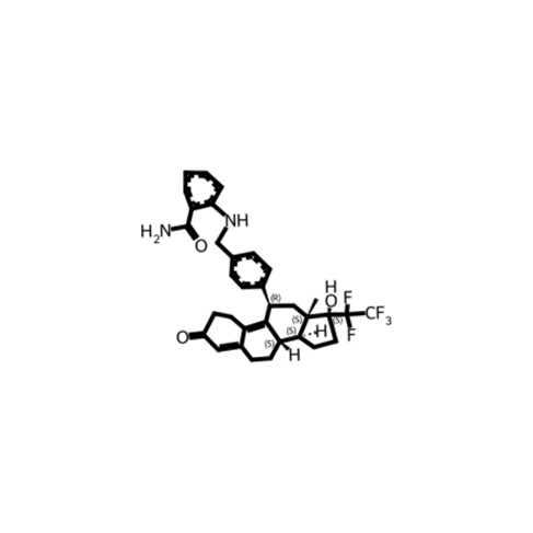 C[C@]12C[C@H](c3ccc(CNc4ccccc4C(N)=O)cc3)C3=C4CCC(=O)C=C4CC[C@H]3[C@@H]1CC[C@@]2(O)C(F)(F)C(F)(F)F